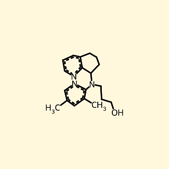 Cc1cnc(N(CCCO)C2CCCc3cccnc32)c(C)c1